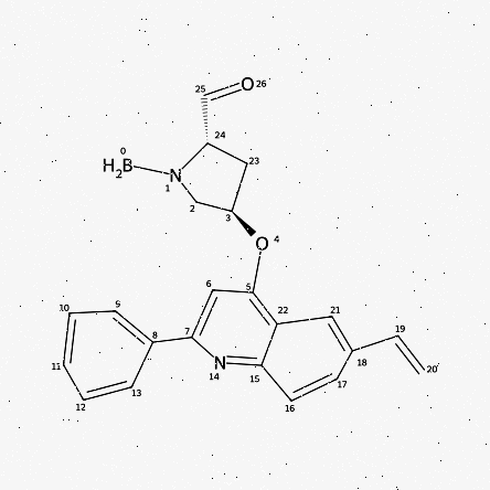 BN1C[C@H](Oc2cc(-c3ccccc3)nc3ccc(C=C)cc23)C[C@H]1C=O